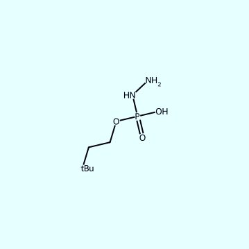 CC(C)(C)CCOP(=O)(O)NN